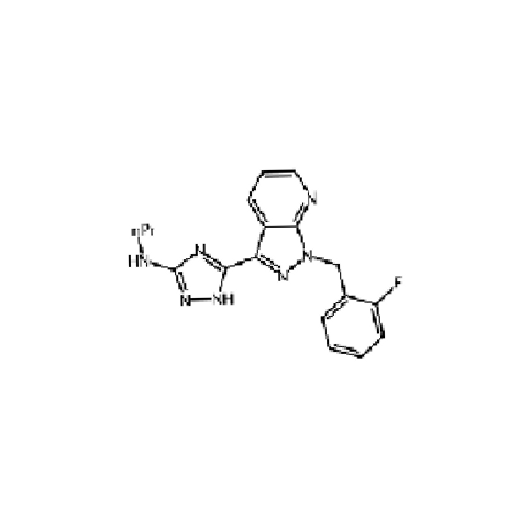 CCCNc1n[nH]c(-c2nn(Cc3ccccc3F)c3ncccc23)n1